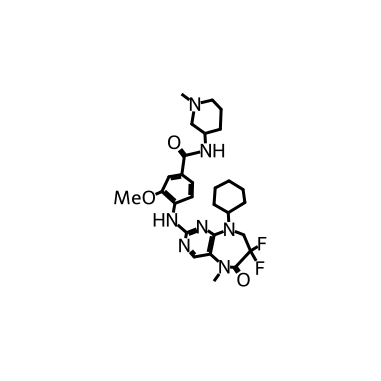 COc1cc(C(=O)NC2CCCN(C)C2)ccc1Nc1ncc2c(n1)N(C1CCCCC1)CC(F)(F)C(=O)N2C